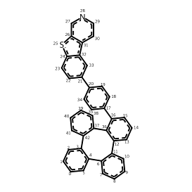 c1ccc2c(c1)-c1ccccc1-c1cccc(-c3ccc(-c4ccc5sc6cnccc6c5c4)cc3)c1-c1ccccc1-2